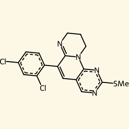 CSc1ncc2c(n1)N1CCCN=C1C(c1ccc(Cl)cc1Cl)=C2